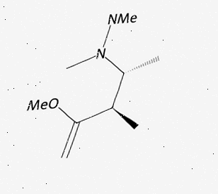 C=C(OC)[C@H](C)[C@@H](C)N(C)NC